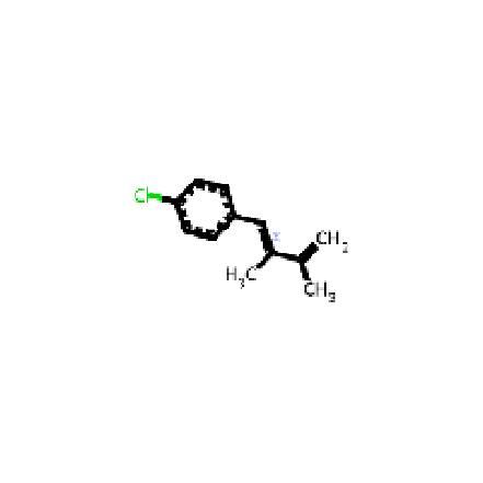 C=C(C)/C(C)=C/c1ccc(Cl)cc1